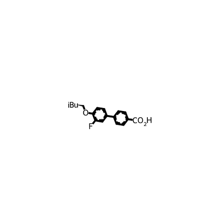 CC[C@H](C)COc1ccc(-c2ccc(C(=O)O)cc2)cc1F